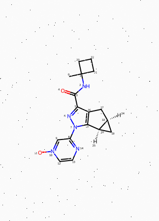 CC1(NC(=O)c2nn(-c3c[n+]([O-])ccn3)c3c2C[C@H]2C[C@@H]32)CCC1